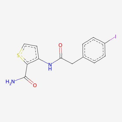 NC(=O)c1sccc1NC(=O)Cc1ccc(I)cc1